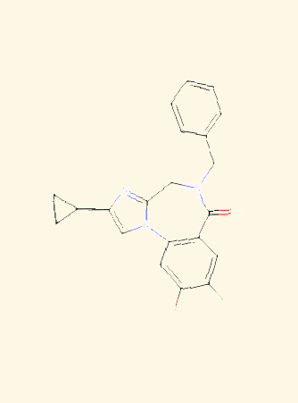 O=C1c2cc(F)c(Br)cc2-n2cc(C3CC3)nc2CN1Cc1ccccc1